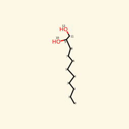 CCCCCCCCCC(O)CO